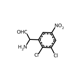 NC(C=O)c1cc([N+](=O)[O-])cc(Cl)c1Cl